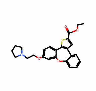 CCOC(=O)c1cc2c(s1)-c1ccc(OCCN3CCCC3)cc1Oc1ccccc1-2